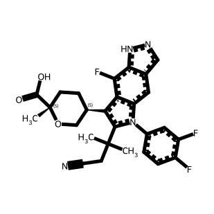 CC(C)(CC#N)c1c([C@@H]2CC[C@@](C)(C(=O)O)OC2)c2c(F)c3[nH]ncc3cc2n1-c1ccc(F)c(F)c1